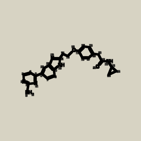 Nc1nccc(-c2ccc3[nH]c(CCOc4ccc(CC(=O)NC5CC5)cc4)nc3c2)n1